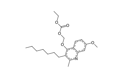 CCCCCCCc1c(C)nc2cc(OC)ccc2c1OCOC(=O)OCC